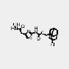 O=C(Cc1csc(NC(=O)OCC23CC4CC(CC(Cl)(C4)C2)C3)n1)NO